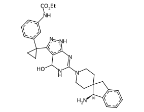 CCOC(=O)Nc1cccc(C2(c3n[nH]c4c3C(O)NC(N3CCC5(CC3)Cc3ccccc3[C@H]5N)=N4)CC2)c1